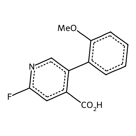 COc1ccccc1-c1cnc(F)cc1C(=O)O